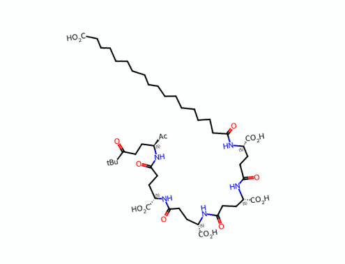 CC(=O)[C@H](CCC(=O)C(C)(C)C)NC(=O)CC[C@H](NC(=O)CC[C@H](NC(=O)CC[C@H](NC(=O)CC[C@H](NC(=O)CCCCCCCCCCCCCCCCC(=O)O)C(=O)O)C(=O)O)C(=O)O)C(=O)O